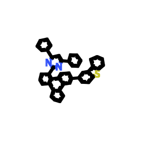 c1ccc(-c2cc(-c3ccccc3)nc(-c3cccc4c5ccccc5c5cc(-c6ccc7sc8ccccc8c7c6)ccc5c34)n2)cc1